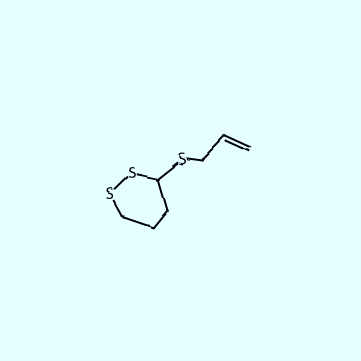 C=CCSC1CCCSS1